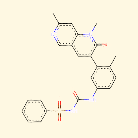 Cc1cc2c(cn1)cc(-c1cc(NC(=O)NS(=O)(=O)c3ccccc3)ccc1C)c(=O)n2C